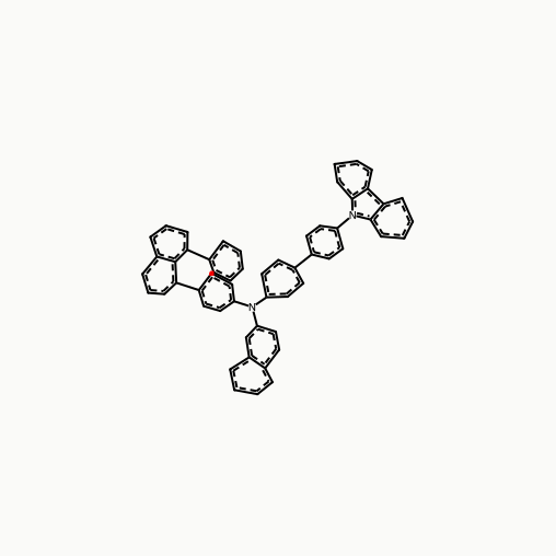 c1ccc(-c2cccc3cccc(-c4ccc(N(c5ccc(-c6ccc(-n7c8ccccc8c8ccccc87)cc6)cc5)c5ccc6ccccc6c5)cc4)c23)cc1